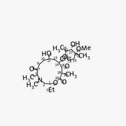 CC[C@@H]1CN(C)[C@@H](C)C(=O)CC[C@@H](O)C[C@@H](C)[C@H](O[C@H]2C[C@@](C)(OC)[C@@H](O)[C@H](C)O2)[C@@H](C)C(=O)O1